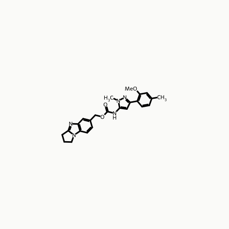 COc1cc(C)ccc1-c1cc(NC(=O)OCc2ccc3c(c2)nc2n3CCC2)n(C)n1